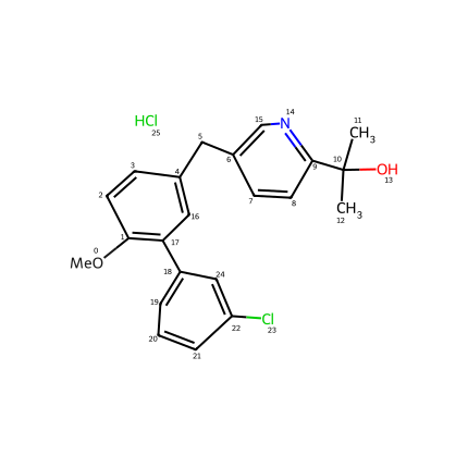 COc1ccc(Cc2ccc(C(C)(C)O)nc2)cc1-c1cccc(Cl)c1.Cl